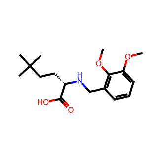 COc1cccc(CN[C@@H](CCC(C)(C)C)C(=O)O)c1OC